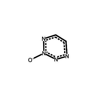 [O-][n+]1nccnn1